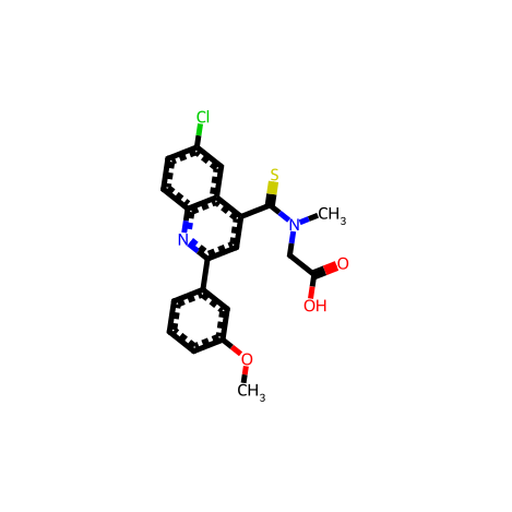 COc1cccc(-c2cc(C(=S)N(C)CC(=O)O)c3cc(Cl)ccc3n2)c1